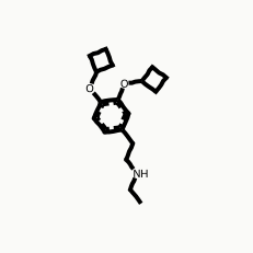 CCNCCc1ccc(OC2CCC2)c(OC2CCC2)c1